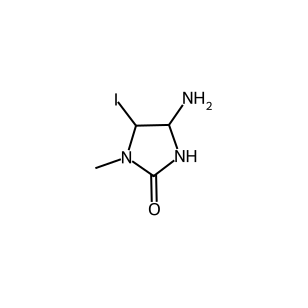 CN1C(=O)NC(N)C1I